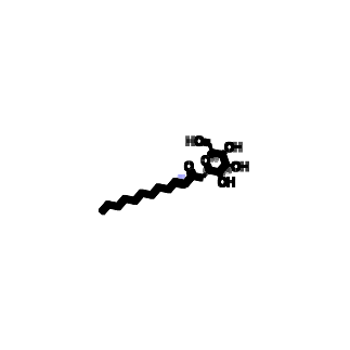 CCCCCCCCC/C=C/C(=O)C[C@@H]1O[C@H](CO)[C@@H](O)[C@H](O)[C@H]1O